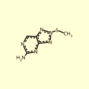 CSn1nc2cnc(N)nc2n1